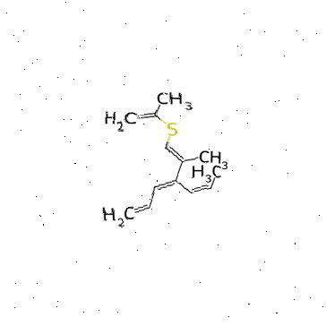 C=C/C=C(\C=C/C)C(/C)=C/SC(=C)C